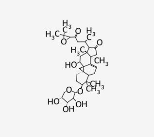 C[C@H](CC(=O)C1OC1(C)C)[C@H]1C(=O)C[C@@]2(C)C3=CCC4C(C)(C)[C@@H](O[C@@H]5OC[C@@H](O)[C@@H](O)C5O)CC[C@@]45C[C@@]35C(O)C[C@]12C